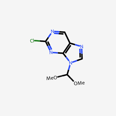 COC(OC)n1cnc2cnc(Cl)nc21